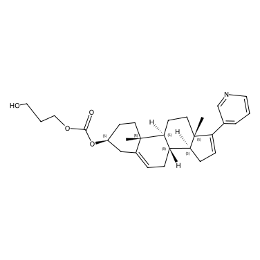 C[C@]12CC[C@H](OC(=O)OCCCO)CC1=CC[C@@H]1[C@@H]2CC[C@]2(C)C(c3cccnc3)=CC[C@@H]12